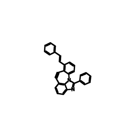 C1#Cc2cccc3nc(-c4ccccc4)n(c23)-c2cccc(/C=C/c3ccccc3)c21